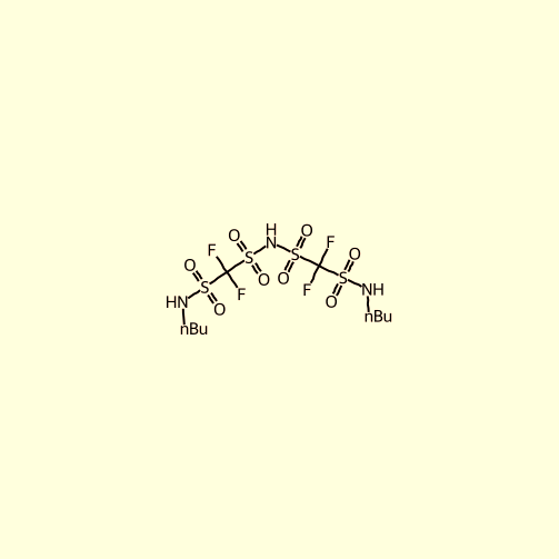 CCCCNS(=O)(=O)C(F)(F)S(=O)(=O)NS(=O)(=O)C(F)(F)S(=O)(=O)NCCCC